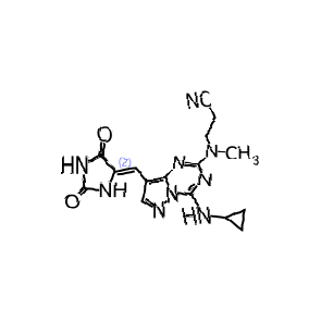 CN(CCC#N)c1nc(NC2CC2)n2ncc(/C=C3\NC(=O)NC3=O)c2n1